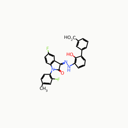 Cc1ccc(N2C(=O)/C(=N\Nc3cccc(-c4cccc(C(=O)O)c4)c3O)c3cc(F)ccc32)c(F)c1